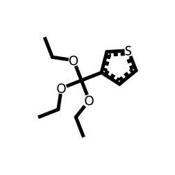 CCOC(OCC)(OCC)c1ccsc1